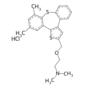 Cc1cc(C)c2c(c1)-c1sc(COCCN(C)C)cc1-c1ccccc1S2.Cl